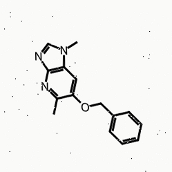 Cc1nc2ncn(C)c2cc1OCc1ccccc1